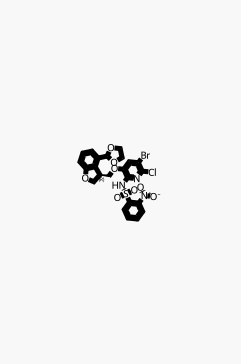 O=[N+]([O-])c1ccccc1S(=O)(=O)Nc1nc(Cl)c(Br)cc1OC[C@H]1COc2cccc(C3OCCO3)c21